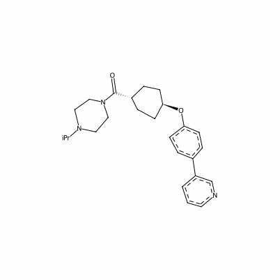 CC(C)N1CCN(C(=O)[C@H]2CC[C@H](Oc3ccc(-c4cccnc4)cc3)CC2)CC1